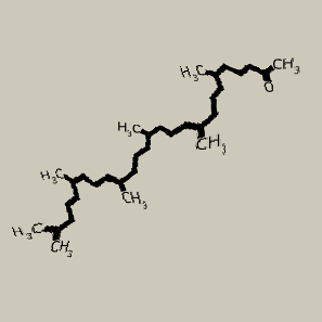 CC(=O)CCCC(C)CCCC(C)CCCC(C)CCCC(C)CCCC(C)CCCC(C)C